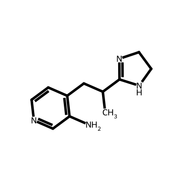 CC(Cc1ccncc1N)C1=NCCN1